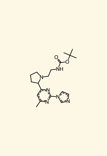 Cc1cc(C2CCCN2CCNC(=O)OC(C)(C)C)nc(-n2ccnc2)n1